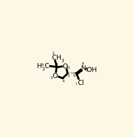 CC1(C)OC[C@@H](/C(Cl)=N/O)O1